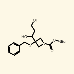 CC(C)(C)OC(=O)N1CC(SCc2ccccc2)(C(O)CCO)C1